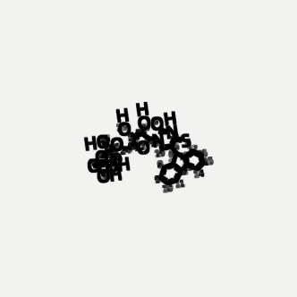 O=c1[nH]c(=S)c(C2c3ccccc3-c3ccccc32)cn1[C@@H]1O[C@H](COP(=O)(O)OP(=O)(O)O)[C@@H](O)[C@H]1O